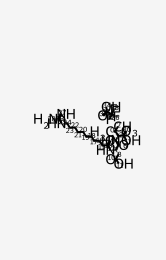 CC(C)[C@H](NC(=O)[C@H](CC(=O)O)NC(=O)CCCCCCCCCCNC(=N)N)C(=O)O.O=C(O)C(F)(F)F